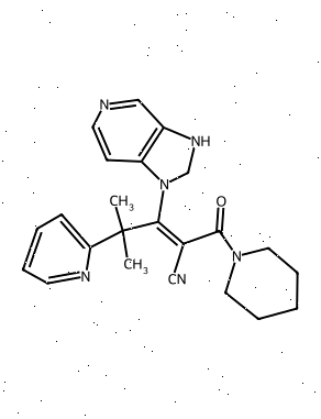 CC(C)(C(=C(C#N)C(=O)N1CCCCC1)N1CNc2cnccc21)c1ccccn1